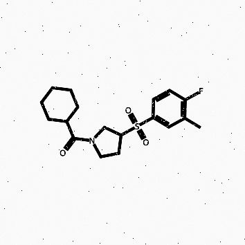 Cc1cc(S(=O)(=O)C2CCN(C(=O)C3CCCCC3)C2)ccc1F